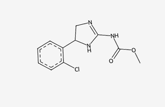 COC(=O)NC1=NCC(c2ccccc2Cl)N1